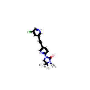 CN1C(=O)N(c2ccc(C#Cc3cncc(Cl)c3)cn2)CC1(C)C